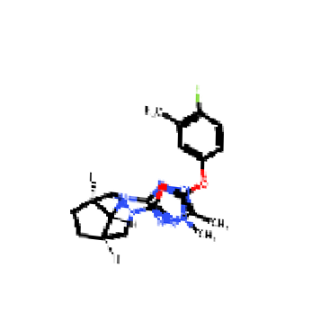 Cc1noc(N2C[C@H]3CC[C@@H](C2)[C@@H]3Nc2nc(Oc3ccc(F)c(C(F)(F)F)c3)n(C)n2)n1